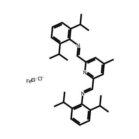 Cc1cc(C=Nc2c(C(C)C)cccc2C(C)C)nc(C=Nc2c(C(C)C)cccc2C(C)C)c1.[Cl-].[Cl-].[Fe+2]